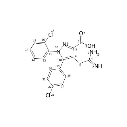 N=C(N)Cc1c(C(=O)O)nn(-c2ccccc2Cl)c1-c1ccc(Cl)cc1